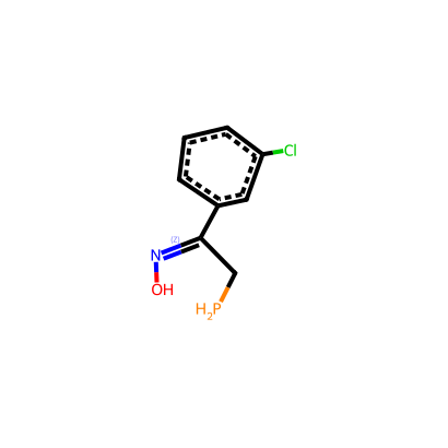 O/N=C(\CP)c1cccc(Cl)c1